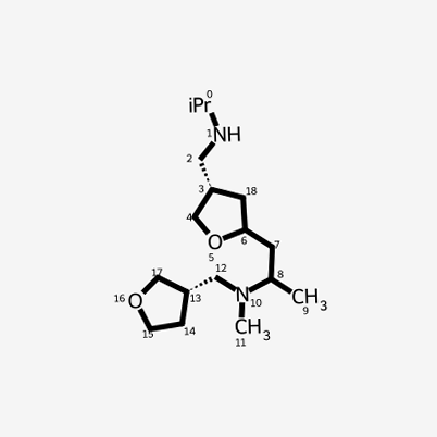 CC(C)NC[C@H]1COC(CC(C)N(C)C[C@@H]2CCOC2)C1